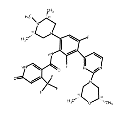 C[C@@H]1CN(c2nccc(-c3c(F)cc(N4C[C@@H](C)N(C)[C@@H](C)C4)c(NC(=O)c4c[nH]c(=O)cc4C(F)(F)F)c3F)n2)C[C@H](C)O1